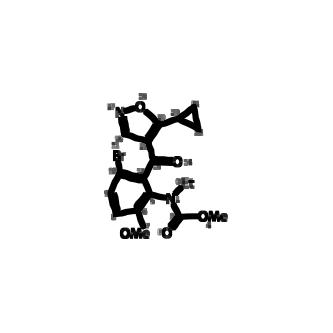 CCN(C(=O)OC)c1c(OC)ccc(Br)c1C(=O)c1cnoc1C1CC1